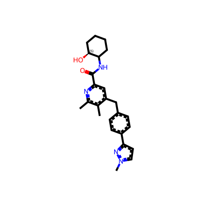 Cc1nc(C(=O)NC2CCCC[C@@H]2O)cc(Cc2ccc(-c3ccn(C)n3)cc2)c1C